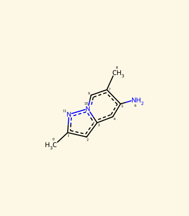 Cc1cc2cc(N)c(C)cn2n1